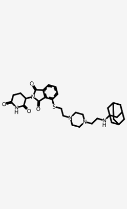 O=C1CCC(N2C(=O)c3cccc(SCCN4CCN(CCNC56CC7CC(CC(C7)C5)C6)CC4)c3C2=O)C(=O)N1